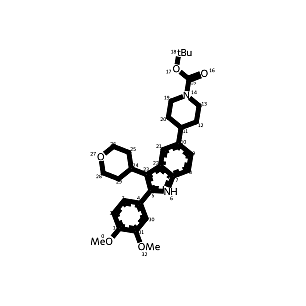 COc1ccc(-c2[nH]c3ccc(C4CCN(C(=O)OC(C)(C)C)CC4)cc3c2C2CCOCC2)cc1OC